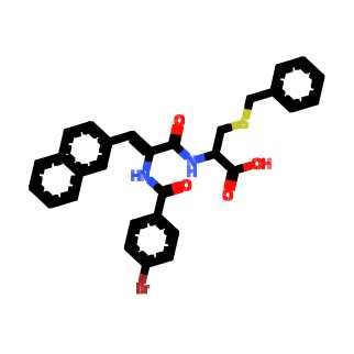 O=C(NC(CSCc1ccccc1)C(=O)O)C(=Cc1ccc2ccccc2c1)NC(=O)c1ccc(Br)cc1